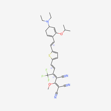 CCN(CC)C1C=C(OC(C)C)C(/C=C/c2ccc(/C=C/C(=C(\C#N)C(OC)=C(C#N)C#N)C(F)(F)F)s2)=CC1